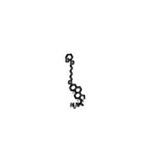 C[C@@H](N)[C@H]1CCC2C3CC=C4C[C@@H](OCCCCCCOC5CCCCO5)CC[C@]4(C)C3CC[C@@]21C